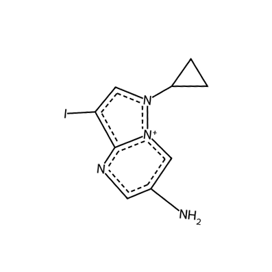 Nc1cnc2c(I)cn(C3CC3)[n+]2c1